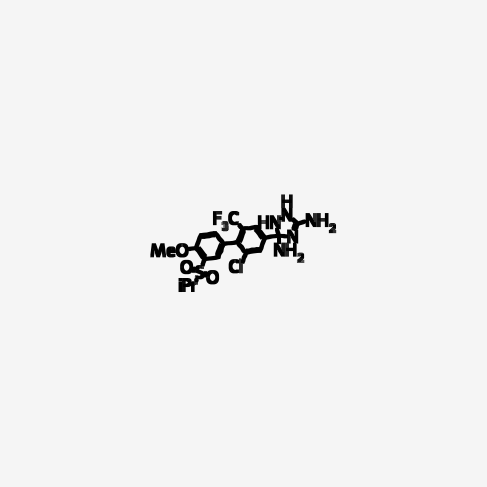 COc1ccc(-c2c(Cl)cc(C3(N)N=C(N)NN3)cc2C(F)(F)F)cc1S(=O)(=O)C(C)C